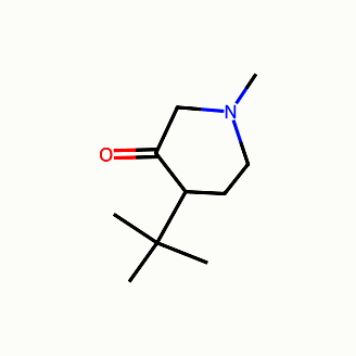 CN1CCC(C(C)(C)C)C(=O)C1